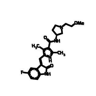 COCCN1CC[C@H](NC(=O)c2c(C)[nH]c(/C=C3\C(=O)Nc4ccc(F)cc43)c2C)C1